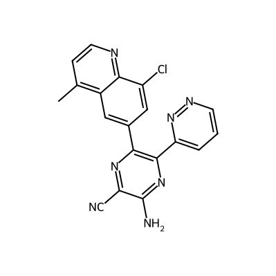 Cc1ccnc2c(Cl)cc(-c3nc(C#N)c(N)nc3-c3cccnn3)cc12